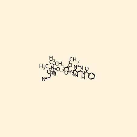 CCO[C@@H]1C[C@@H](COP(OCCC#N)N(C(C)C)C(C)C)O[C@H]1n1cnc2c(NC(=O)c3ccccc3)ncnc21